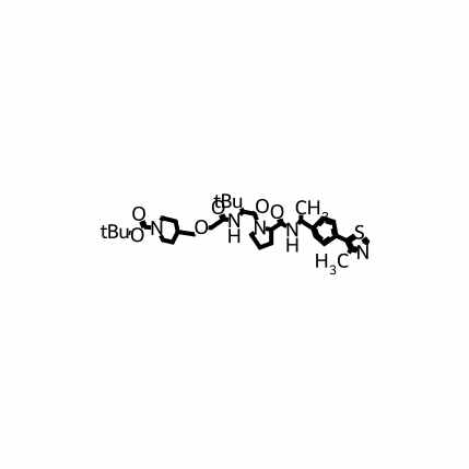 Cc1ncsc1-c1ccc(C(C)NC(=O)C2CCCN2C(=O)C(NC(=O)COCC2CCN(C(=O)OC(C)(C)C)CC2)C(C)(C)C)cc1